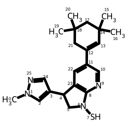 Cn1cc(C2CN(S)c3ncc(C4=CC(C)(C)CC(C)(C)C4)cc32)cn1